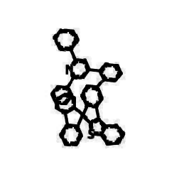 c1ccc(-c2cc(-c3ccccc3-c3ccc4c(c3)-c3c(sc5ccccc35)C43c4ccccc4-c4ccccc43)cc(-c3ccccc3)n2)cc1